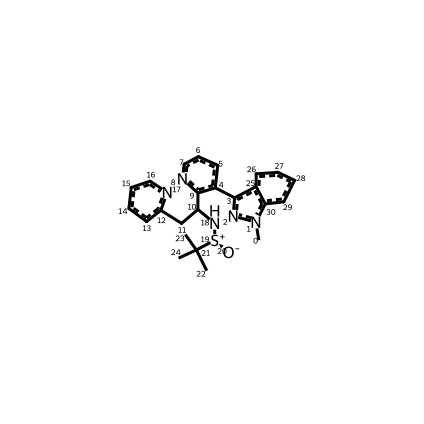 Cn1nc(-c2cccnc2C(Cc2ccccn2)N[S@@+]([O-])C(C)(C)C)c2ccccc21